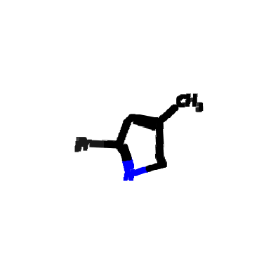 CC1=CC(C(C)C)=NC1